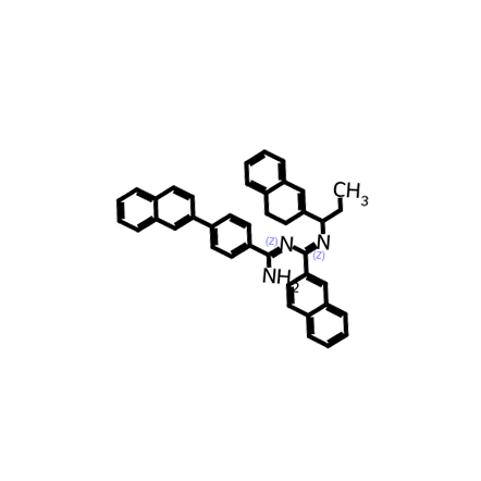 CCC(/N=C(\N=C(/N)c1ccc(-c2ccc3ccccc3c2)cc1)c1ccc2ccccc2c1)C1=Cc2ccccc2CC1